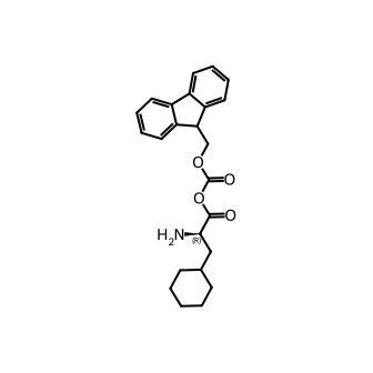 N[C@H](CC1CCCCC1)C(=O)OC(=O)OCC1c2ccccc2-c2ccccc21